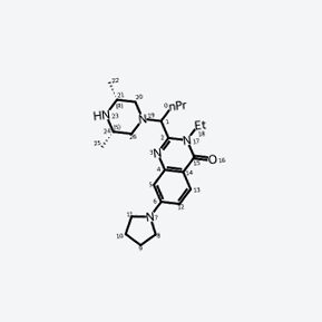 CCCC(c1nc2cc(N3CCCC3)ccc2c(=O)n1CC)N1C[C@@H](C)N[C@@H](C)C1